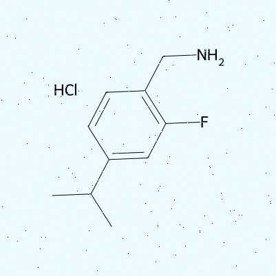 CC(C)c1ccc(CN)c(F)c1.Cl